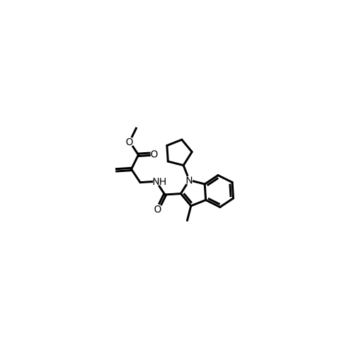 C=C(CNC(=O)c1c(C)c2ccccc2n1C1CCCC1)C(=O)OC